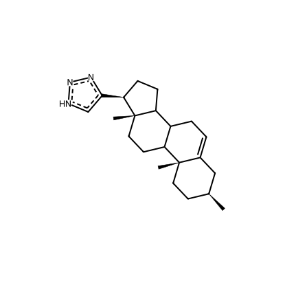 C[C@H]1CC[C@@]2(C)C(=CCC3C2CC[C@@]2(C)C3CC[C@@H]2c2c[nH]nn2)C1